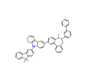 CC1c2ccc(C3=CC4C5=C(CCC=C5)N(c5ccc6c(c5)-c5ccccc5C6(C)C)C4C=C3)cc2-c2ccccc2CC1c1cccc(-c2ccccc2)c1